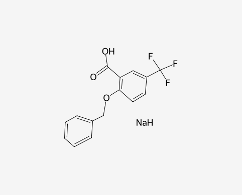 O=C(O)c1cc(C(F)(F)F)ccc1OCc1ccccc1.[NaH]